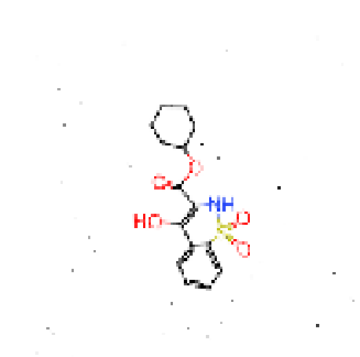 O=C(OC1CCCCC1)C1=C(O)c2ccccc2S(=O)(=O)N1